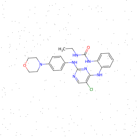 CCNC(=O)Nc1ccccc1Nc1nc(Nc2ccc(N3CCOCC3)cc2)ncc1Cl